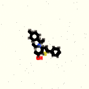 C=C(O)c1sc(-c2ccccc2)cc1N(CC)C(=C)C1CCC(C)CC1